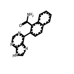 NC(=O)c1c(-c2ncnc3[nH]cnc23)ccc2ccccc12